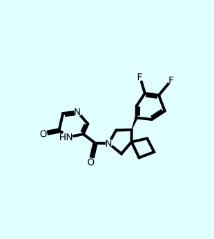 O=C(c1cncc(=O)[nH]1)N1C[C@@H](c2ccc(F)c(F)c2)C2(CCC2)C1